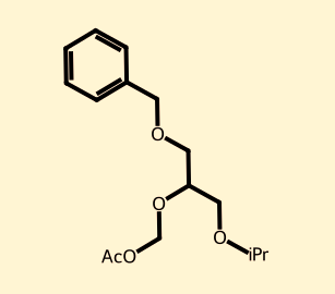 CC(=O)OCOC(COCc1ccccc1)COC(C)C